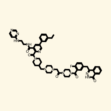 CCc1cccc(-c2cnc(C(=O)N3CCC(CN4CCN(CC(=O)N5CCN(C(=O)c6cc(Cc7n[nH]c(=O)c8ccccc78)ccc6F)CC5)CC4)CC3)c(C(=O)NCCNc3ccncn3)c2)c1